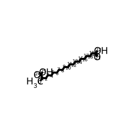 CC(CCCCCCCCCCCCCCCCCCC(=O)O)C(=O)O